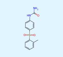 Cc1ccccc1S(=O)(=O)c1ccc(NC(N)=O)cc1